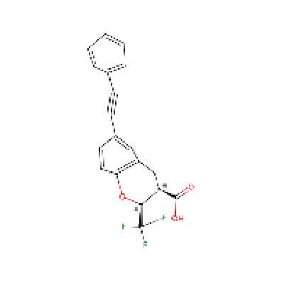 O=C(O)[C@@H]1Cc2cc(C#Cc3ccccc3)ccc2O[C@@H]1C(F)(F)F